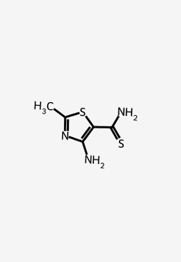 Cc1nc(N)c(C(N)=S)s1